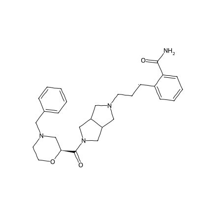 NC(=O)c1ccccc1[CH]CCN1CC2CN(C(=O)[C@@H]3CN(Cc4ccccc4)CCO3)CC2C1